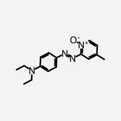 CCN(CC)c1ccc(N=Nc2cc(C)cc[n+]2[O-])cc1